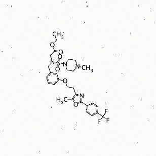 CCOC(=O)CN(Cc1cccc(OCCc2nc(-c3ccc(C(F)(F)F)cc3)oc2C)c1)S(=O)(=O)N1CCN(C)CC1